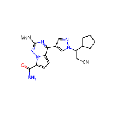 CNc1nc(-c2cnn(C(CC#N)C3CCCC3)c2)c2ccc(C(N)=O)n2n1